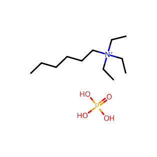 CCCCCC[N+](CC)(CC)CC.O=P(O)(O)O